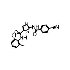 Cc1cccc(Cl)c1NC(=O)c1cnc(NC(=O)c2ccc(C#N)cc2)s1